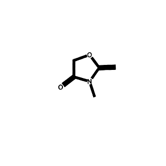 C=C1OCC(=O)N1C